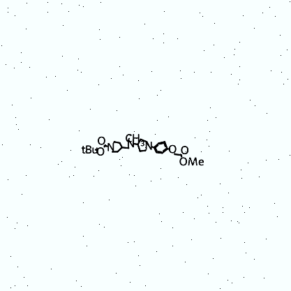 COC(=O)COc1ccc(N2CCC(N(C)CC3CCN(C(=O)OC(C)(C)C)CC3)CC2)cc1